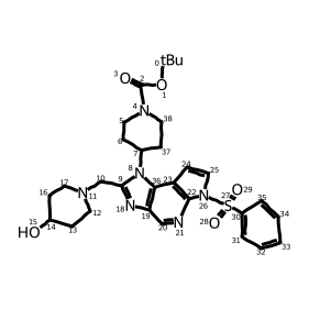 CC(C)(C)OC(=O)N1CCC(n2c(CN3CCC(O)CC3)nc3cnc4c(ccn4S(=O)(=O)c4ccccc4)c32)CC1